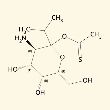 CC(=S)OC1(C(C)C)O[C@H](CO)[C@H](O)[C@H](O)[C@H]1N